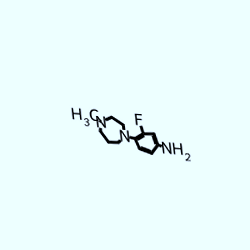 CN1CCCN(c2ccc(N)cc2F)CC1